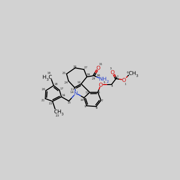 COC(=O)COc1cccc2c1c1c(n2Cc2cc(C)ccc2C)CCCCC1C(N)=O